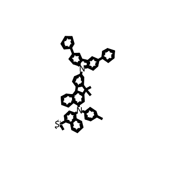 Cc1ccc(N(c2ccc([Si](C)(C)C)c3ccccc23)c2cc3c(c4ccccc24)-c2ccc(-n4c5ccc(-c6ccccc6)cc5c5cc(-c6ccccc6)ccc54)cc2C3(C)C)cc1